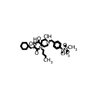 CCCCN1C(=O)[C@@H](CC2(O)CCCCC2)NC(=O)C12CCN(Cc1ccc(N(C)S(C)(=O)=O)cc1)CC2.Cl